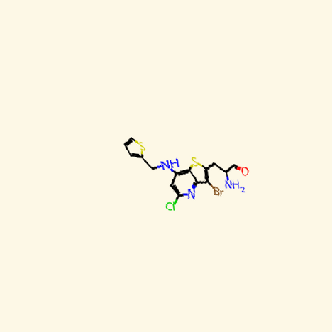 N[C@H](C=O)Cc1sc2c(NCc3cccs3)cc(Cl)nc2c1Br